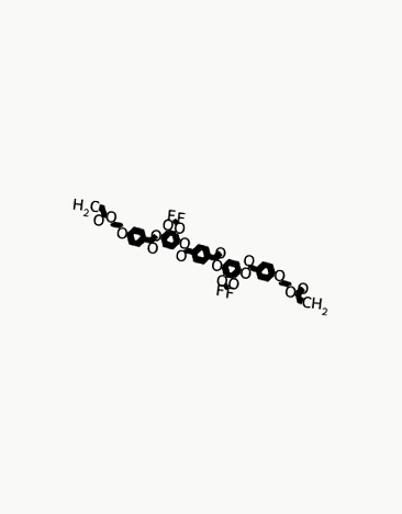 C=CC(=O)OCCOc1ccc(C(=O)Oc2ccc(OC(=O)c3ccc(C(=O)Oc4ccc(OC(=O)c5ccc(OCCOC(=O)C=C)cc5)c5c4OC(F)(F)O5)cc3)c3c2OC(F)(F)O3)cc1